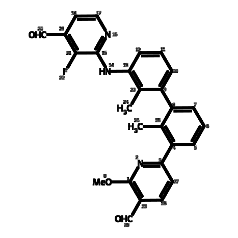 COc1nc(-c2cccc(-c3cccc(Nc4nccc(C=O)c4F)c3C)c2C)ccc1C=O